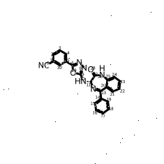 N#Cc1cccc(-c2nnc(N[C@H]3N=C(c4ccccc4)c4ccccc4NC3=O)o2)c1